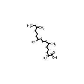 CCC(C)CCCC(C)CCCC(C)CCCC(C)C(=O)O